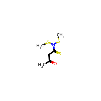 CSN(SC)C(=S)CC(C)=O